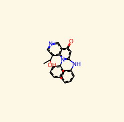 CC(O)c1cncc2c(=O)cc(Nc3ccccc3)n(-c3ccccc3)c12